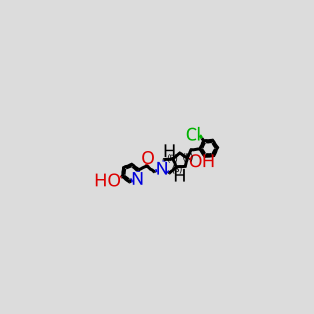 O=C(CN1C[C@@H]2C[C@@](O)(Cc3ccccc3Cl)C[C@@H]2C1)c1ccc(O)cn1